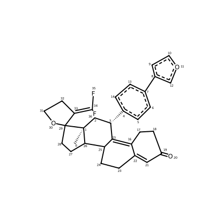 C[C@]12C[C@H](c3ccc(-c4ccoc4)cc3)C3=C4CCC(=O)C=C4CCC3C1CCC21OCCC1=C(F)F